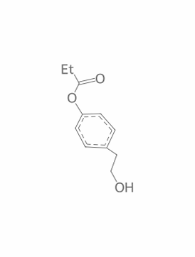 CCC(=O)Oc1ccc(CCO)cc1